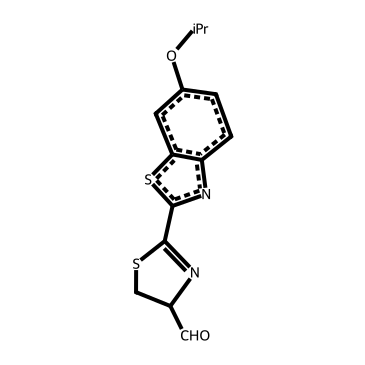 CC(C)Oc1ccc2nc(C3=NC(C=O)CS3)sc2c1